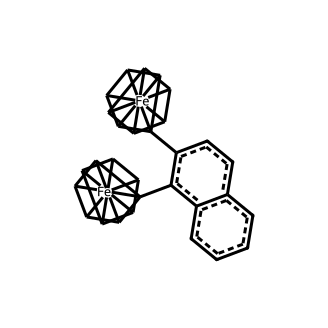 c1ccc2c([C]34[CH]5[CH]6[CH]7[CH]3[Fe]6754389%10[CH]4[CH]3[CH]8[CH]9[CH]4%10)c([C]34[CH]5[CH]6[CH]7[CH]3[Fe]6754389%10[CH]4[CH]3[CH]8[CH]9[CH]4%10)ccc2c1